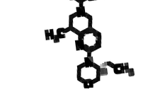 CC[C@@H]1COCCN1c1ccc2c(n1)C(C)CN(C(=O)O)C2